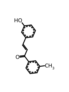 Cc1cccc(C(=O)C=Cc2cccc(O)c2)c1